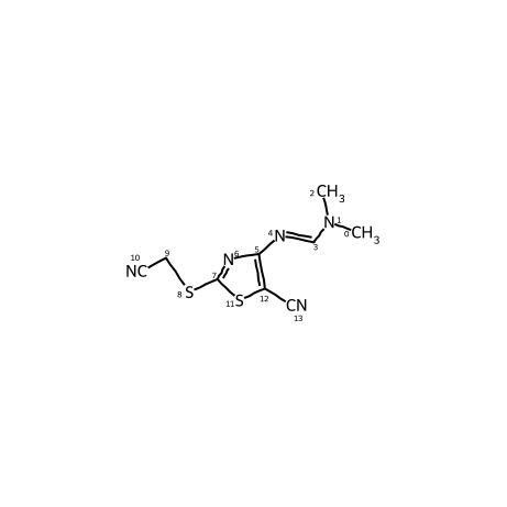 CN(C)C=Nc1nc(SCC#N)sc1C#N